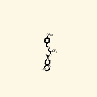 COc1ccc(COC[C@@H](OC(=O)N2CCC3(CC2)CNCCO3)C(F)(F)F)cc1